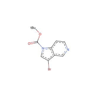 CC(C)(C)OC(=O)n1cc(Br)c2cnccc21